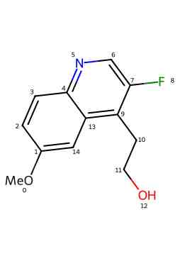 COc1ccc2ncc(F)c(CCO)c2c1